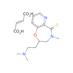 CN(C)CCC1CN(C)C(=S)c2ncccc2O1.O=C(O)C=CC(=O)O